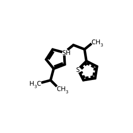 CC(C)C1=C[SH](CC(C)c2cccs2)C=C1